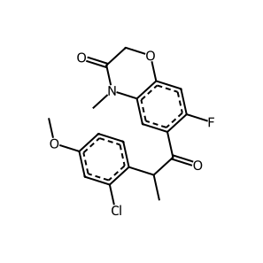 COc1ccc(C(C)C(=O)c2cc3c(cc2F)OCC(=O)N3C)c(Cl)c1